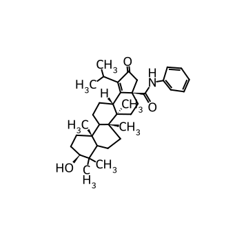 CC(C)C1=C2[C@H]3CCC4[C@@]5(C)CC[C@H](O)C(C)(C)C5CC[C@@]4(C)[C@]3(C)CC[C@@]2(C(=O)Nc2ccccc2)CC1=O